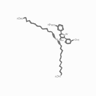 CCCCCCCCCCCCCCCCCCCCCC#[C][Ni][C]#CCCCCCCCCCCCCCCCCCCCCC.CCCCCCCCc1cccc(C2=C(CCCC)C=C(c3cccc(CCCCC)c3)[N+]2=[N-])c1